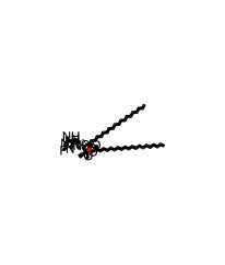 C#CC(COC(=O)CCCCCCCCCCCCCCCCCCC)(OC)[C@H](Cn1cnc2c(N)nc(F)nc21)OC(=O)CCCCCCCCCCCCCCCCCCC